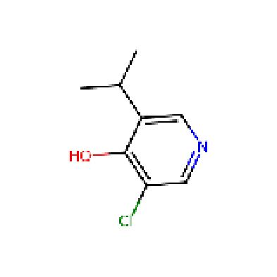 CC(C)c1cncc(Cl)c1O